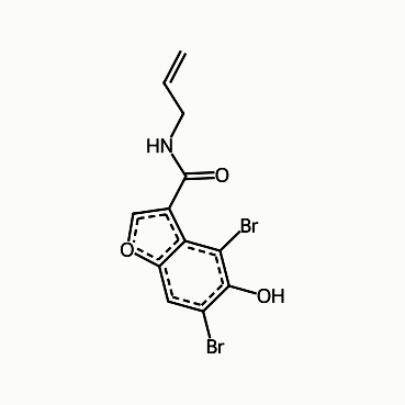 C=CCNC(=O)c1coc2cc(Br)c(O)c(Br)c12